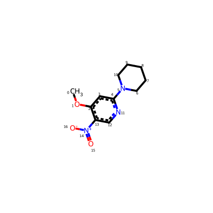 COc1cc(N2CCCCC2)ncc1[N+](=O)[O-]